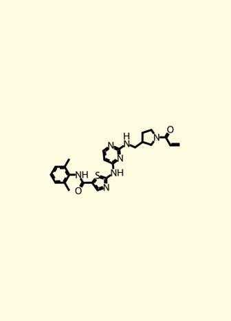 C=CC(=O)N1CCC(CNc2nccc(Nc3ncc(C(=O)Nc4c(C)cccc4C)s3)n2)C1